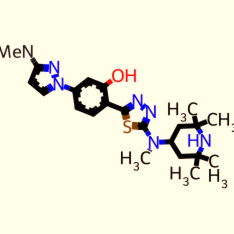 CNc1ccn(-c2ccc(-c3nnc(N(C)C4CC(C)(C)NC(C)(C)C4)s3)c(O)c2)n1